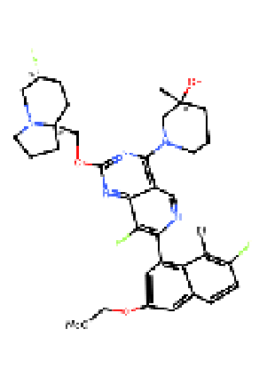 CCc1c(F)ccc2cc(OCOC)cc(-c3ncc4c(N5CCC[C@@](C)(O)C5)nc(OC[C@@]56CCCN5C[C@H](F)CC6)nc4c3F)c12